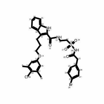 Cc1cc(OCCCc2c(C(=O)NCCS(=O)(=O)NC(=O)Cc3ccc(Br)cc3)[nH]c3ccccc23)cc(C)c1Cl